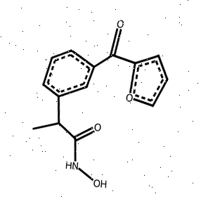 CC(C(=O)NO)c1cccc(C(=O)c2ccco2)c1